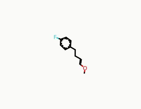 COC=CCCc1ccc(F)cc1